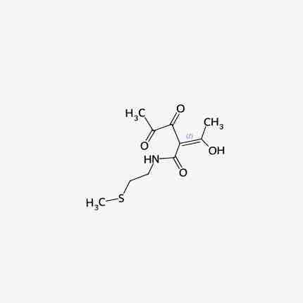 CSCCNC(=O)/C(C(=O)C(C)=O)=C(/C)O